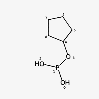 OP(O)OC1CCCC1